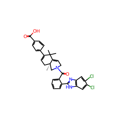 CC1(C)C(c2ccc(C(=O)O)cc2)=CC[C@]2(C)CN(C(=O)c3ccccc3-c3nc4cc(Cl)c(Cl)cc4[nH]3)CC=C12